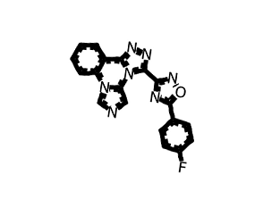 Fc1ccc(-c2nc(-c3nnc4c5ccccc5n5cncc5n34)no2)cc1